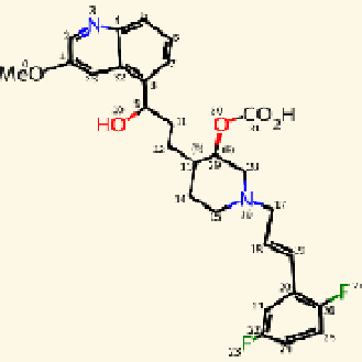 COc1cnc2cccc(C(O)CC[C@@H]3CCN(CC=Cc4cc(F)ccc4F)C[C@@H]3OC(=O)O)c2c1